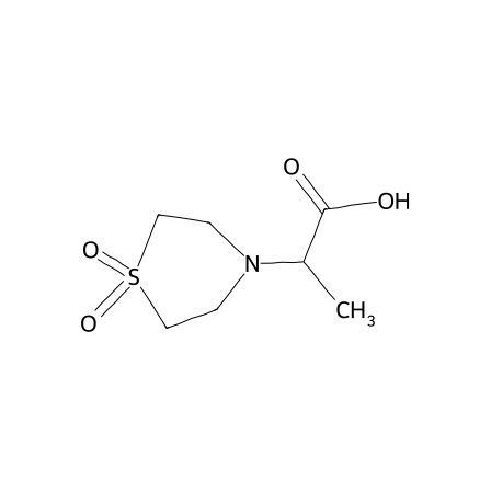 CC(C(=O)O)N1CCS(=O)(=O)CC1